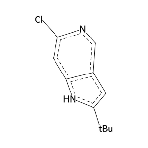 CC(C)(C)c1cc2cnc(Cl)cc2[nH]1